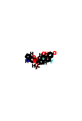 C[C@@H]1C[C@H]2[C@@H]3C[C@H](F)C4=CC(=O)C=C[C@]4(C)[C@@]3(F)[C@@H](O)C[C@]2(C)[C@@]1(OC(=O)O[C@@H]1C[C@H]2CC[C@@H]1C2)C(=O)OCC#N